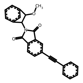 COC1c2cccc(c2)C1N1C(=O)c2ccc(C#Cc3ccccc3)cc2C1=O